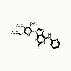 CC(=O)OC[C@H]1O[C@@H](n2cnc3c(Nc4ccccn4)nc(I)nc32)[C@H](OC(C)=O)[C@@H]1OC(C)=O